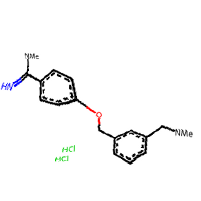 CNCc1cccc(COc2ccc(C(=N)NC)cc2)c1.Cl.Cl